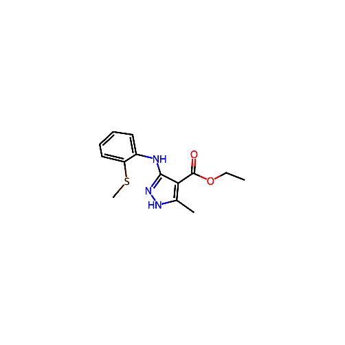 CCOC(=O)c1c(Nc2ccccc2SC)n[nH]c1C